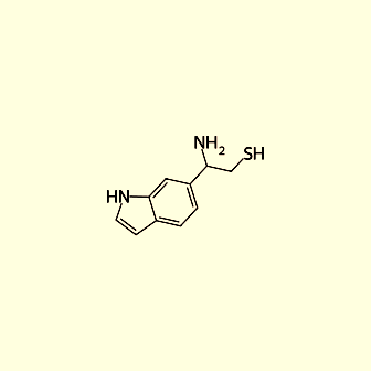 NC(CS)c1ccc2cc[nH]c2c1